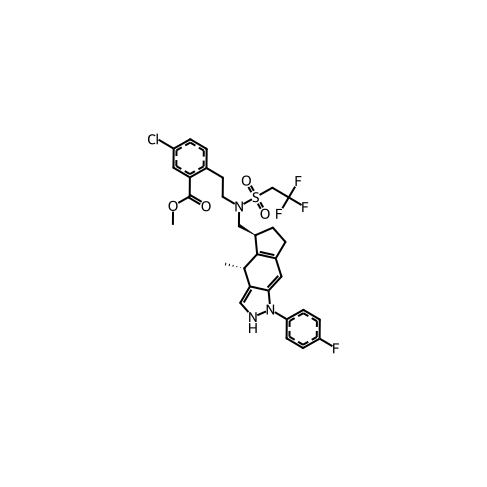 COC(=O)c1cc(Cl)ccc1CCN(C[C@H]1CCC2=C1[C@@H](C)C1=CNN(c3ccc(F)cc3)C1=C2)S(=O)(=O)CC(F)(F)F